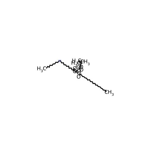 CCCCCCCCCC/C=C\CCCCCCCCCC(=O)O[C@H](COC(=O)CCCCCCCCCCCCCCCCCCCC)COP(=O)([O-])OCC[N+](C)(C)C